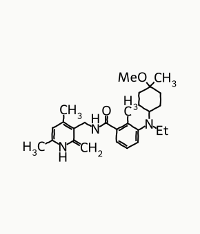 C=C1NC(C)=CC(C)=C1CNC(=O)c1cccc(N(CC)C2CCC(C)(OC)CC2)c1C